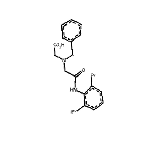 CC(C)c1cccc(C(C)C)c1NC(=O)CN(CC(=O)O)Cc1ccccc1